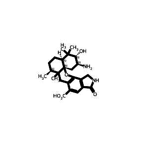 C[C@H]1CC[C@H]2C(C)(C)[C@H](O)[C@@H](N)C[C@]23Oc2c(c(C(=O)O)cc4c2CNC4=O)CC13C